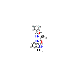 CC1NC(=O)C(NC(=O)[C@H](C)NC(=O)Cc2cc(F)cc(F)c2)c2ccccc21